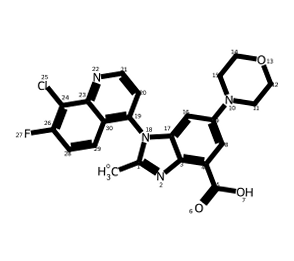 Cc1nc2c(C(=O)O)cc(N3CCOCC3)cc2n1-c1ccnc2c(Cl)c(F)ccc12